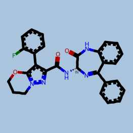 O=C(N[C@H]1N=C(c2ccccc2)c2ccccc2NC1=O)c1nn2c(c1-c1ccccc1F)OCCC2